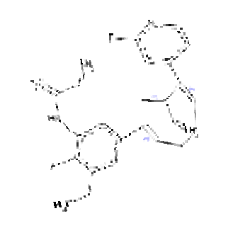 C=CC(=C)Nc1cc(C2=C\CC\C=C(c3ccnc(F)c3)/C(C=C)=C/2)cc(CC)c1F